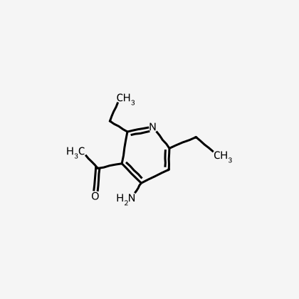 CCc1cc(N)c(C(C)=O)c(CC)n1